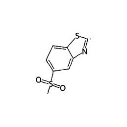 CS(=O)(=O)c1ccc2s[c]nc2c1